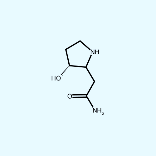 NC(=O)CC1NCC[C@H]1O